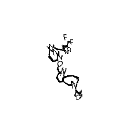 FC(F)c1cc(-c2nnc3ccc(OCc4ccc5c(n4)CCN(C4COC4)C5)nn23)no1